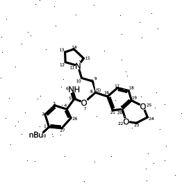 CCCCc1ccc(C(=N)O[C@@H](CCN2CCCC2)c2ccc3c(c2)OCCO3)cc1